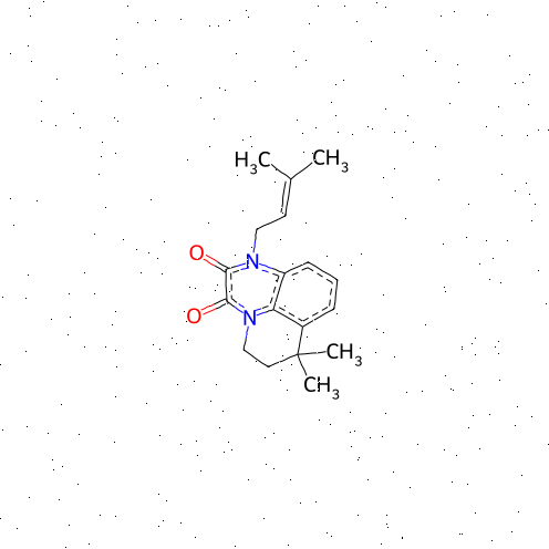 CC(C)=CCn1c(=O)c(=O)n2c3c(cccc31)C(C)(C)CC2